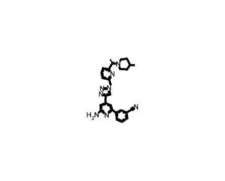 CC1CCN([C@H](C)c2cccc(Cn3cc(-c4cc(N)nc(-c5cccc(C#N)c5)c4)nn3)n2)CC1